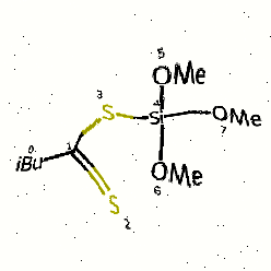 CCC(C)C(=S)S[Si](OC)(OC)OC